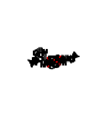 CC(C)(C)OC(=O)N1CC2(CC2)CC1c1nc2ccc(-c3cc4ccc3CCc3ccc(c(-c5ccc6[nH]c([C@H]7CCC8(CC8)C7)nc6c5)c3)CC4)cc2[nH]1